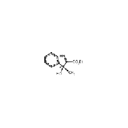 CCOC(=O)C(=N)[C@](C)(O)c1ccccc1